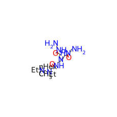 CCCCCCC(CC)N(C)CCN(CC)CCC(=O)NCCN(CCC(=O)NCCN)CCC(=O)NCCN